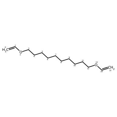 C=COCCCCCCCCCCOC=C